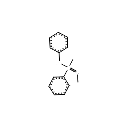 CN=P(C)(Oc1ccccc1)c1ccccc1